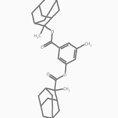 Cc1cc(OC(=O)C2(C)C3CC4CC(C3)CC2C4)cc(C(=O)OC2(C)C3CC4CC(C3)CC2C4)c1